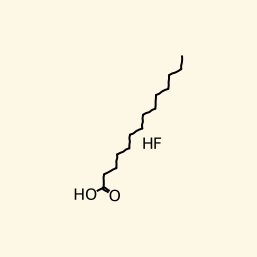 CCCCCCCCCCCCCC(=O)O.F